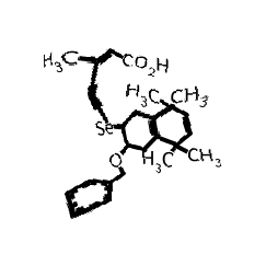 CC(C#C[Se]C1CC2=C(CC1OCc1ccccc1)C(C)(C)C=CC2(C)C)=CC(=O)O